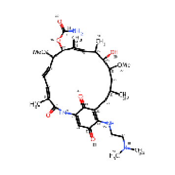 COC1/C=C/C=C(\C)C(=O)NC2=CC(=O)C(NCCN(C)C)=C(CC(C)CC(OC)C(O)C(C)/C=C(\C)C1OC(N)=O)C2=O